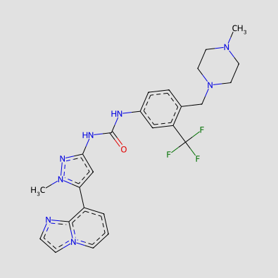 CN1CCN(Cc2ccc(NC(=O)Nc3cc(-c4cccn5ccnc45)n(C)n3)cc2C(F)(F)F)CC1